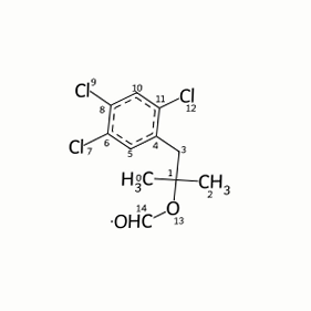 CC(C)(Cc1cc(Cl)c(Cl)cc1Cl)O[C]=O